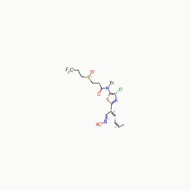 C\C=C/C=C(\C=N\O)c1nc(Cl)c(N(CC)C(=O)CC[S+]([O-])CCC(F)(F)F)s1